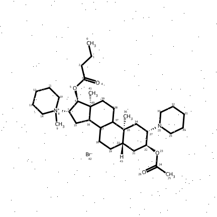 CCCC(=O)O[C@@H]1[C@@H]([N+]2(C)CCCCC2)CC2C3CC[C@H]4C[C@H](OC(C)=O)[C@@H](N5CCCCC5)C[C@]4(C)C3CC[C@@]21C.[Br-]